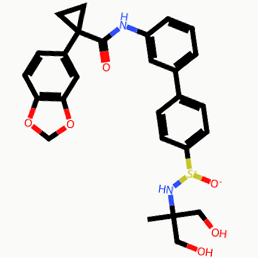 CC(CO)(CO)N[S+]([O-])c1ccc(-c2cccc(NC(=O)C3(c4ccc5c(c4)OCO5)CC3)c2)cc1